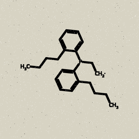 [CH2]CP(c1ccccc1CCCC)c1ccccc1CCCC